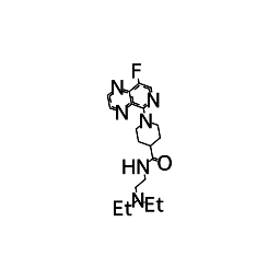 CCN(CC)CCNC(=O)C1CCN(c2ncc(F)c3nccnc23)CC1